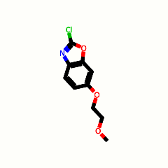 COCCOc1ccc2nc(Cl)oc2c1